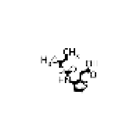 CCC(C)OC(=O)Nc1ccsc1CC(=O)O